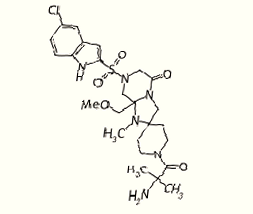 COCC12CN(S(=O)(=O)c3cc4cc(Cl)ccc4[nH]3)CC(=O)N1CC1(CCN(C(=O)C(C)(C)N)CC1)N2C